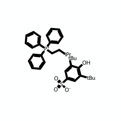 CC(C)(C)c1cc(S(=O)(=O)[O-])cc(C(C)(C)C)c1O.CC(C)CC[P+](c1ccccc1)(c1ccccc1)c1ccccc1